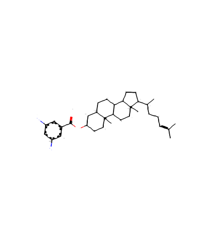 CC(C)=CCCC(C)C1CCC2C3CCC4CC(OC(=O)c5cc(N)cc(N)c5)CCC4(C)C3CCC12C